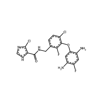 Nc1cc(Oc2c(Cl)ccc(CNC(=O)c3[nH]cnc3Cl)c2F)c(N)cc1F